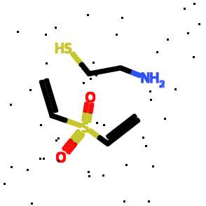 C=CS(=O)(=O)C=C.NCCS